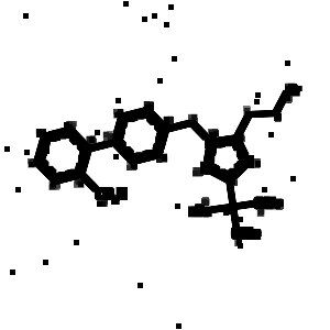 CCCCC(OC)(OC)c1nc(CCC(C)C)n(Cc2ccc(-c3ccccc3C(=O)O)cc2)n1